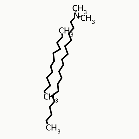 CCCCCCCCCCCC.CCCCCCCCCCCCCCCCCCN(C)C